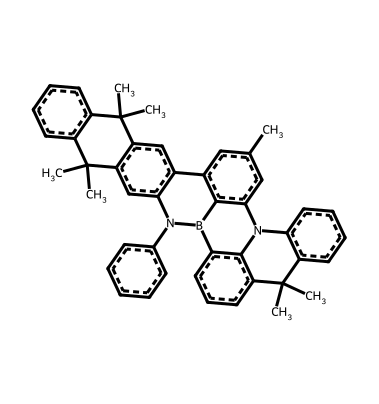 Cc1cc2c3c(c1)N1c4ccccc4C(C)(C)c4cccc(c41)B3N(c1ccccc1)c1cc3c(cc1-2)C(C)(C)c1ccccc1C3(C)C